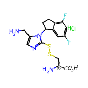 Cl.NCc1cnc(SSC[C@H](N)C(=O)O)n1C1CCc2c(F)cc(F)cc21